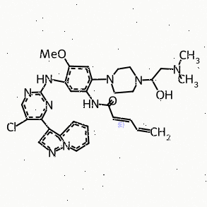 C=C/C=C/C(=O)Nc1cc(Nc2ncc(Cl)c(-c3cnn4ccccc34)n2)c(OC)cc1N1CCN(C(O)CN(C)C)CC1